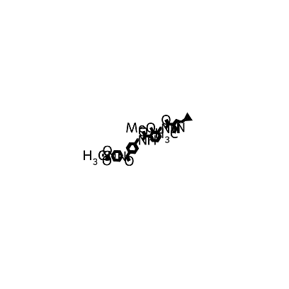 COc1c(CNC(=O)c2cc(C3CC3)nn2C)cccc1C(=O)NCc1ccc(C(=O)N2CCN(S(C)(=O)=O)CC2)cc1